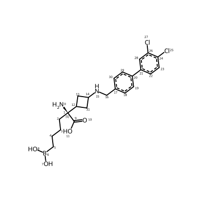 N[C@](CCCCB(O)O)(C(=O)O)C1CC(NCc2ccc(-c3ccc(Cl)c(Cl)c3)cc2)C1